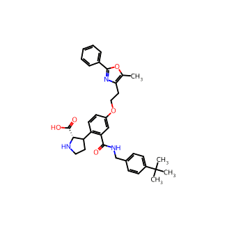 Cc1oc(-c2ccccc2)nc1CCOc1ccc(C2CCN[C@@H]2C(=O)O)c(C(=O)NCc2ccc(C(C)(C)C)cc2)c1